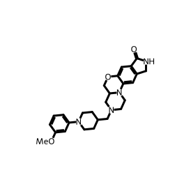 COc1cccc(N2CCC(CN3CCN4c5cc6c(cc5OCC4C3)C(=O)NC6)CC2)c1